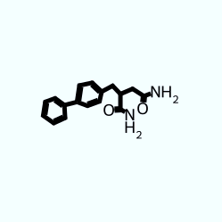 NC(=O)CC(Cc1ccc(-c2ccccc2)cc1)C(N)=O